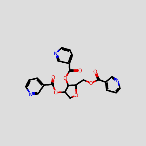 O=C(OCC1OCC(OC(=O)c2cccnc2)C1OC(=O)c1cccnc1)c1cccnc1